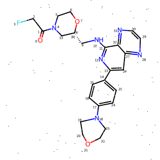 O=C(CF)N1CCO[C@H](CNc2nc(-c3ccc(N4CCOCC4)cc3)cc3nccnc23)C1